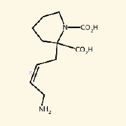 NC/C=C\CC1(C(=O)O)CCCCN1C(=O)O